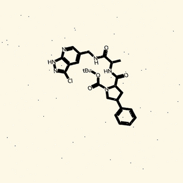 CC(NC(=O)C1CC(c2ccccc2)CN1C(=O)OC(C)(C)C)C(=O)NCc1cnc2[nH]nc(Cl)c2c1